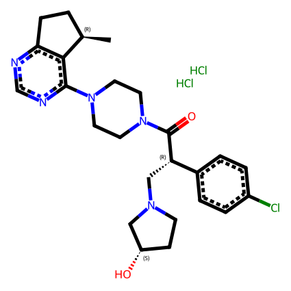 C[C@@H]1CCc2ncnc(N3CCN(C(=O)[C@@H](CN4CC[C@H](O)C4)c4ccc(Cl)cc4)CC3)c21.Cl.Cl